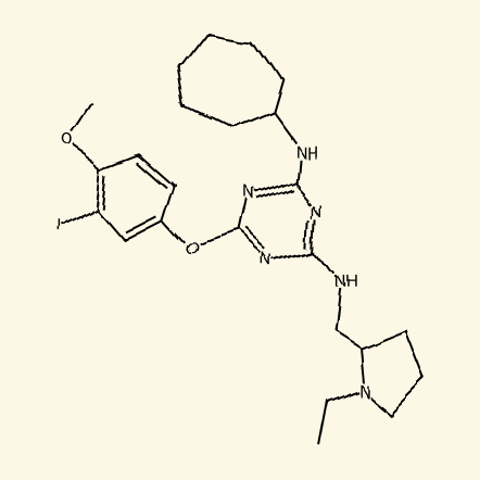 CCN1CCCC1CNc1nc(NC2CCCCCC2)nc(Oc2ccc(OC)c(I)c2)n1